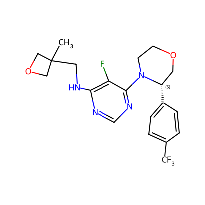 CC1(CNc2ncnc(N3CCOC[C@@H]3c3ccc(C(F)(F)F)cc3)c2F)COC1